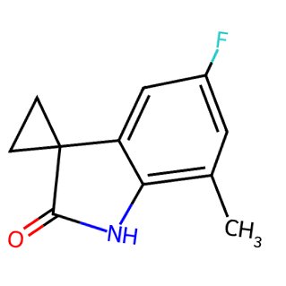 Cc1cc(F)cc2c1NC(=O)C21CC1